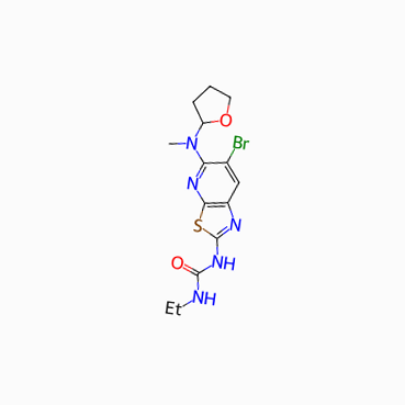 CCNC(=O)Nc1nc2cc(Br)c(N(C)C3CCCO3)nc2s1